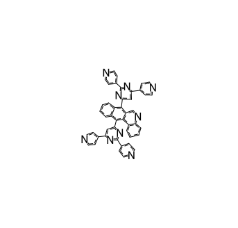 c1ccc2c(c1)ncc1c(-c3cc(-c4ccncc4)nc(-c4ccncc4)n3)c3ccccc3c(-c3cc(-c4ccncc4)nc(-c4ccncc4)n3)c12